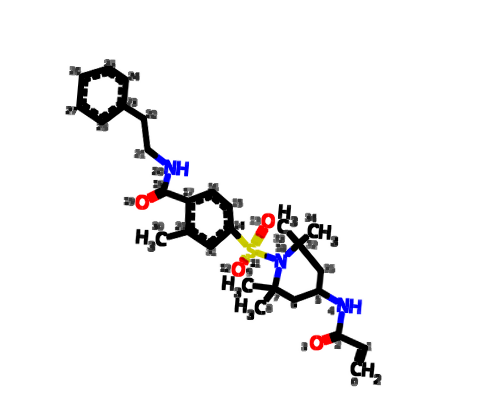 C=CC(=O)NC1CC(C)(C)N(S(=O)(=O)c2ccc(C(=O)NCCc3ccccc3)c(C)c2)C(C)(C)C1